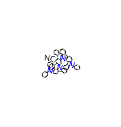 N#Cc1c(-c2ccccc2)c(-n2c3ccccc3c3ccc4c(c5ccccc5n4-c4ccccc4)c32)cc(-n2c3ccccc3c3ccc4c(c5ccccc5n4-c4ccccc4)c32)c1-c1ccccc1